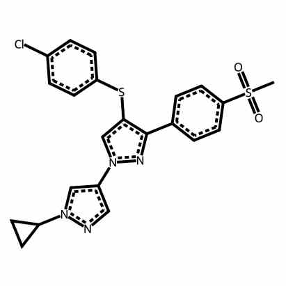 CS(=O)(=O)c1ccc(-c2nn(-c3cnn(C4CC4)c3)cc2Sc2ccc(Cl)cc2)cc1